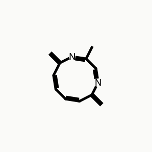 C=c1ccccc(=C)nc(C)cn1